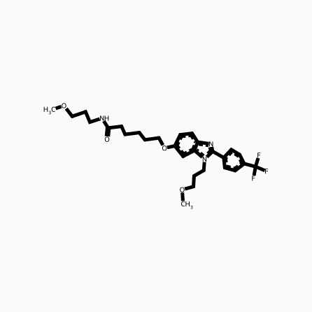 COCCCNC(=O)CCCCCOc1ccc2nc(-c3ccc(C(F)(F)F)cc3)n(CCCOC)c2c1